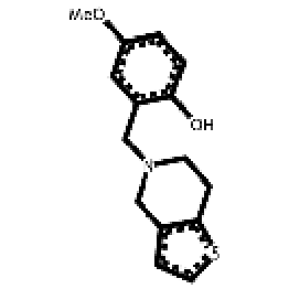 COc1ccc(O)c(CN2CCc3sccc3C2)c1